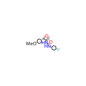 COc1ccc([C@@H]2COC(C)(C)[C@@H]2NC(=O)Nc2ccc(F)cc2)cc1